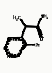 CC(C)c1cnccc1C(C)C(N)=O